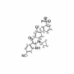 N#Cc1ccc2c(c1)[nH]c1c2c(=O)c2cc(C(F)(F)F)c(-c3cccc(S(=O)(=O)F)c3)cc2n1C1CCC1